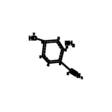 N.N#Cc1ccc(O)cc1